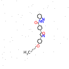 CCCCCOc1ccc(-c2cc(-c3ccc(C(=O)n4nnc5ccccc54)cc3)on2)cc1